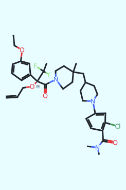 C=CCO[C@@](C(=O)N1CCC(C)(CC2CCN(c3ccc(C(=O)N(C)C)c(Cl)c3)CC2)CC1)(c1cccc(OCC)c1)C(C)(F)F